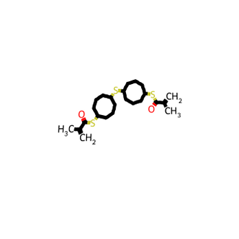 C=C(C)C(=O)SC1CCCC(SC2CCCC(SC(=O)C(=C)C)CCC2)CCC1